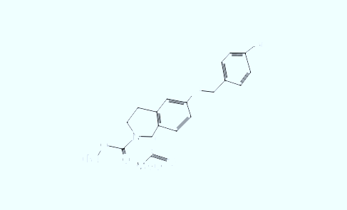 COC(=O)[C@H]1c2ccc(OCc3ccc(Br)cc3)cc2CCN1C(=O)OC(C)(C)C